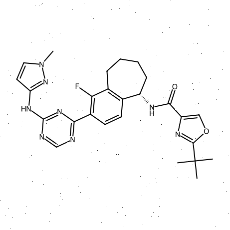 Cn1ccc(Nc2ncnc(-c3ccc4c(c3F)CCCC[C@@H]4NC(=O)c3coc(C(C)(C)C)n3)n2)n1